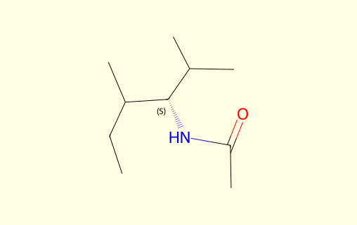 CCC(C)[C@@H](NC(C)=O)C(C)C